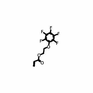 C=CC(=O)OCCOc1c(F)c(F)c(F)c(F)c1F